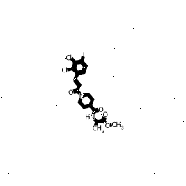 COC(=O)C(C)NC(=O)C1CCN(C(=O)/C=C/c2ccc(I)c(Cl)c2Cl)CC1